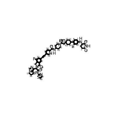 O=C1CCC(Nc2ccc(C3CCC(O)(CC(=O)N4CCC(NC(=O)c5ccc(C#Cc6cc(F)c7c(c6)C(=O)N(C(C(=O)Nc6nccs6)c6ncn8c6CCC8)C7)cn5)CC4)CC3)c(F)c2)C(=O)N1